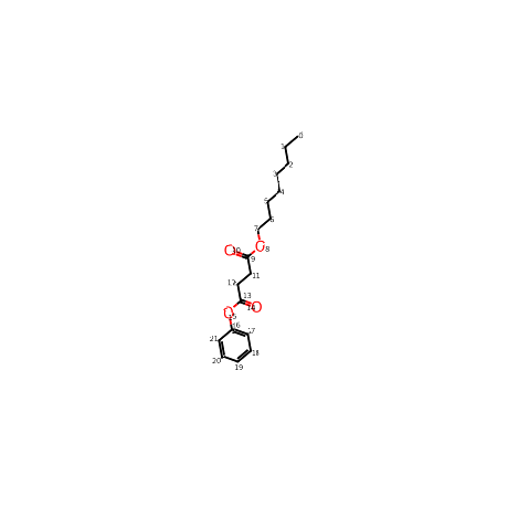 CCCCCCCCOC(=O)CCC(=O)Oc1ccccc1